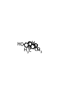 CC1C[C@]2(C)C(=O)CC[C@H]2[C@@H]2CC=C3CC(O)CC[C@]3(C)[C@H]12